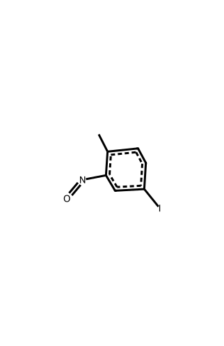 Cc1ccc(I)cc1N=O